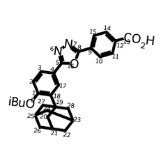 CC(C)COc1ccc(-c2nnc(-c3ccc(C(=O)O)cc3)o2)cc1C12CC3CC(CC(C3)C1)C2